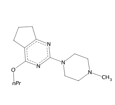 CCCOc1nc(N2CCN(C)CC2)nc2c1CCC2